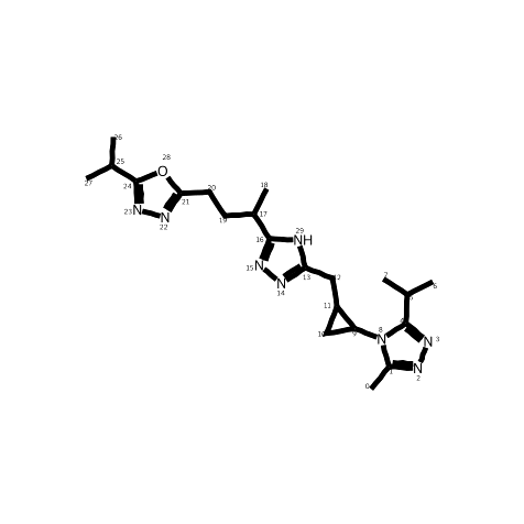 Cc1nnc(C(C)C)n1C1CC1Cc1nnc(C(C)CCc2nnc(C(C)C)o2)[nH]1